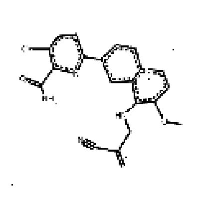 C=C(C#N)CNc1c(OC)ccc2ccc(-c3ccc(Cl)c(C(N)=O)n3)cc12